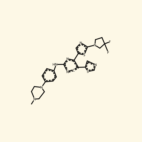 CN1CCN(c2ccc(Nc3ncc(-c4cncs4)c(-c4cnc(N5CCC(F)(F)C5)s4)n3)cc2)CC1